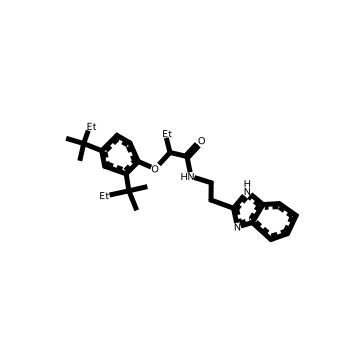 CCC(Oc1ccc(C(C)(C)CC)cc1C(C)(C)CC)C(=O)NCCc1nc2ccccc2[nH]1